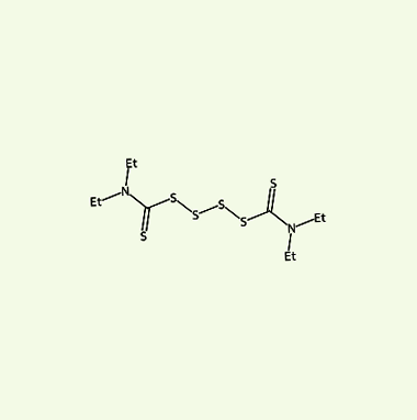 CCN(CC)C(=S)SSSSC(=S)N(CC)CC